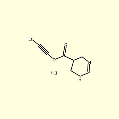 CCC#COC(=O)C1CN=CNC1.Cl